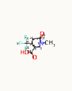 Cn1cc(C(=O)O)c(C(F)(F)F)cc1=O